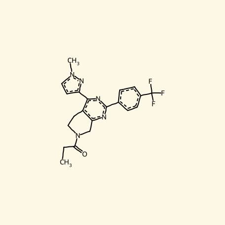 CCC(=O)N1CCc2c(nc(-c3ccc(C(F)(F)F)cc3)nc2-c2ccn(C)n2)C1